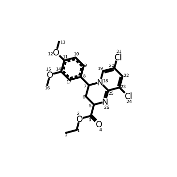 CCOC(=O)C1CC(c2ccc(OC)c(OC)c2)N2C=C(Cl)C=C(Cl)C2=N1